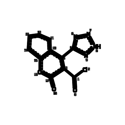 O=C(Cl)c1c(-c2nn[nH]n2)c2ccccc2oc1=O